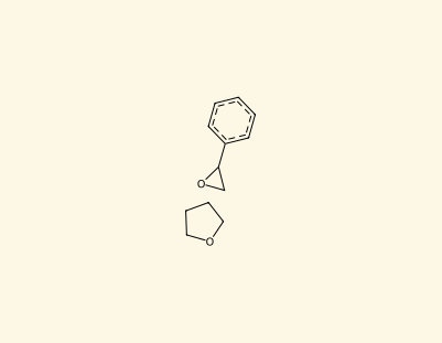 C1CCOC1.c1ccc(C2CO2)cc1